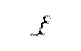 CCCCCC(=O)OCCC(=O)CN